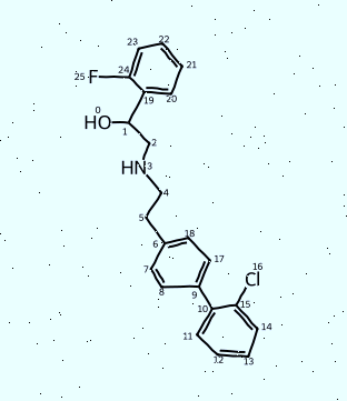 OC(CNCCc1ccc(-c2ccccc2Cl)cc1)c1ccccc1F